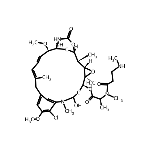 CNCCC(=O)N(C)[C@@H](C)C(=O)O[C@H]1CC(O)N(C)c2cc(cc(OC)c2Cl)C/C(C)=C/C=C/[C@@H](OC)[C@@]2(O)C[C@H](OC(=O)N2)[C@@H](C)[C@@H]2O[C@@]12C